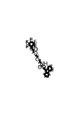 O=C(COCCOCCNC(=O)OCC1c2ccccc2-c2ccccc21)Oc1c(F)c(F)c(F)c(F)c1F